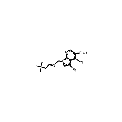 C[Si](C)(C)CCOCn1cc(Br)c2c(Cl)c(C=O)cnc21